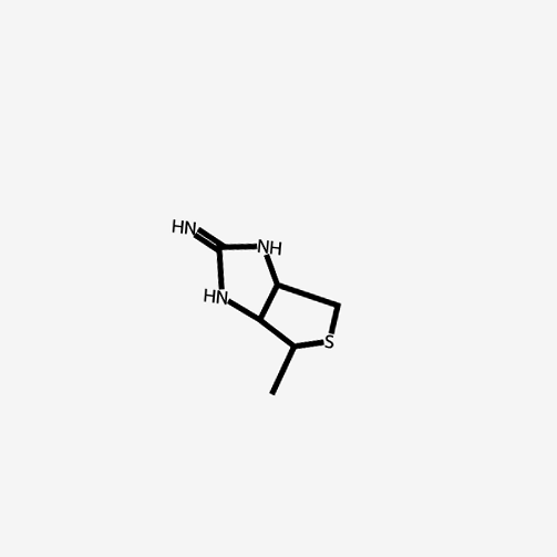 CC1SCC2NC(=N)NC21